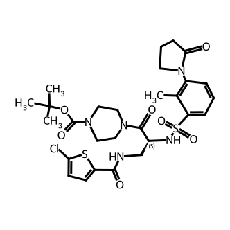 Cc1c(N2CCCC2=O)cccc1S(=O)(=O)N[C@@H](CNC(=O)c1ccc(Cl)s1)C(=O)N1CCN(C(=O)OC(C)(C)C)CC1